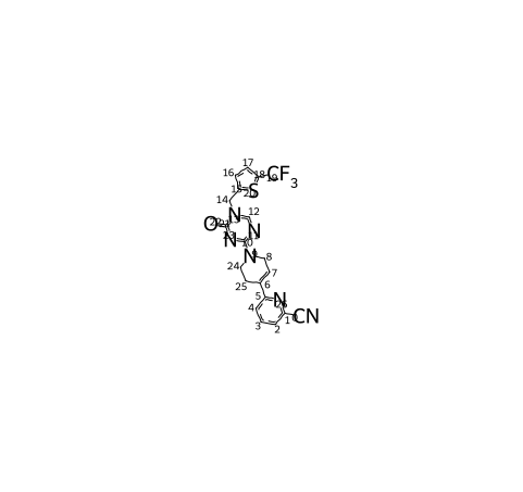 N#Cc1cccc(C2=CCN(c3ncn(Cc4ccc(C(F)(F)F)s4)c(=O)n3)CC2)n1